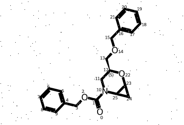 O=C(OCc1ccccc1)N1C[C@@H](COCc2ccccc2)OC2CC21